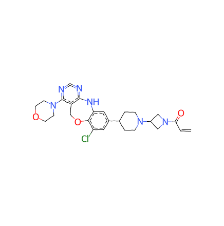 C=CC(=O)N1CC(N2CCC(c3cc(Cl)c4c(c3)Nc3ncnc(N5CCOCC5)c3CO4)CC2)C1